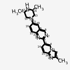 Cc1cn2cc(-c3ncc4cc(N5C[C@H](C)N[C@@H](C)C5)ccc4n3)ccc2n1